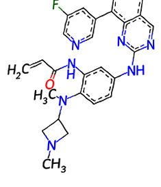 C=CC(=O)Nc1cc(Nc2ncc3cncc(-c4cncc(F)c4)c3n2)ccc1N(C)C1CN(C)C1